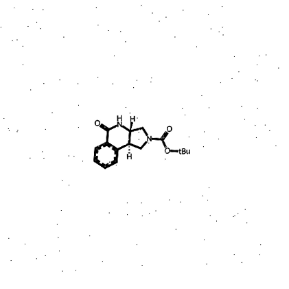 CC(C)(C)OC(=O)N1C[C@H]2NC(=O)c3ccccc3[C@@H]2C1